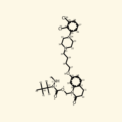 CNN(C(=O)OCN1C(=O)CCc2ccc(OCCCCN3CCN(c4cccc(Cl)c4Cl)CC3)cc21)C(C)(C)C(C)(C)C